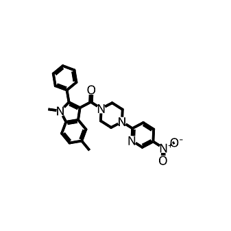 Cc1ccc2c(c1)c(C(=O)N1CCN(c3ccc([N+](=O)[O-])cn3)CC1)c(-c1ccccc1)n2C